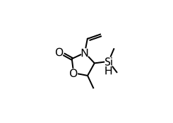 C=CN1C(=O)OC(C)C1[SiH](C)C